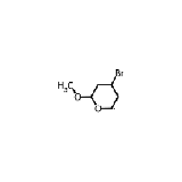 COC1CC(Br)C[CH]O1